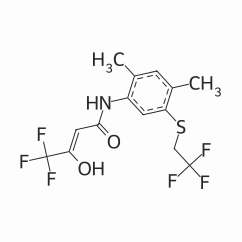 Cc1cc(C)c(SCC(F)(F)F)cc1NC(=O)/C=C(\O)C(F)(F)F